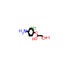 Cl.Nc1ccc(OC(O)CO)cc1